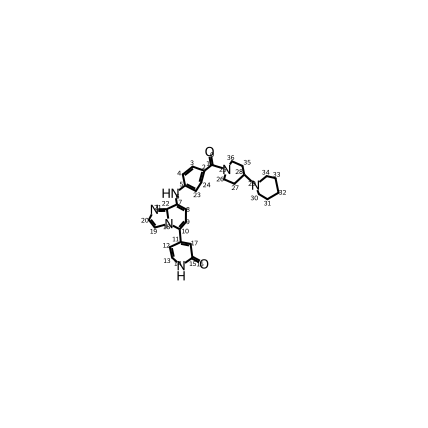 O=C(c1ccc(Nc2ccc(-c3cc[nH]c(=O)c3)n3ccnc23)cc1)N1CCC(N2CCCCC2)CC1